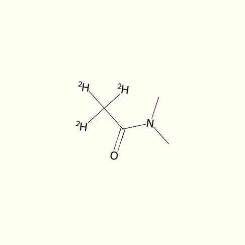 [2H]C([2H])([2H])C(=O)N(C)C